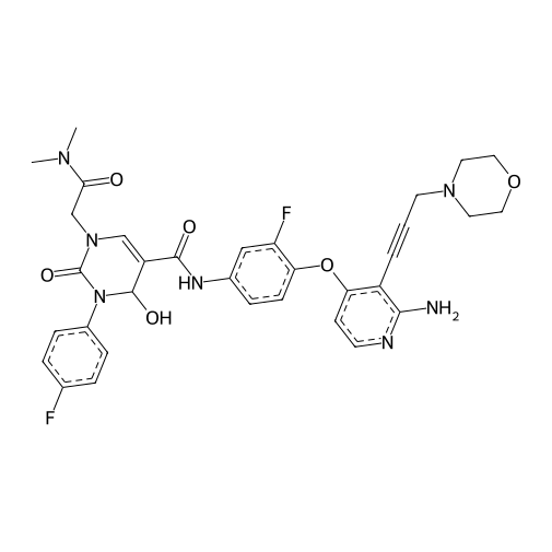 CN(C)C(=O)CN1C=C(C(=O)Nc2ccc(Oc3ccnc(N)c3C#CCN3CCOCC3)c(F)c2)C(O)N(c2ccc(F)cc2)C1=O